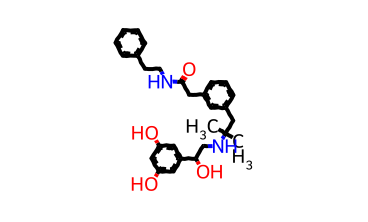 CC(C)(Cc1cccc(CC(=O)NCCc2ccccc2)c1)NCC(O)c1cc(O)cc(O)c1